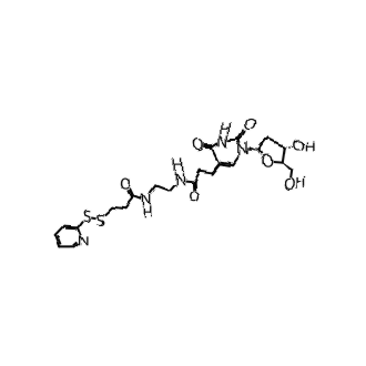 O=C(CCSSc1ccccn1)NCCNC(=O)CCc1cn([C@H]2C[C@H](O)[C@@H](CO)O2)c(=O)[nH]c1=O